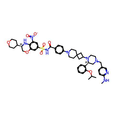 CNc1ccc(CN2CCN(C3CC4(CCN(c5ccc(C(=O)NS(=O)(=O)c6cc7c(c([N+](=O)[O-])c6)N[C@H](C6CCOCC6)CO7)cc5)CC4)C3)[C@H](c3ccccc3OC(C)C)C2)cn1